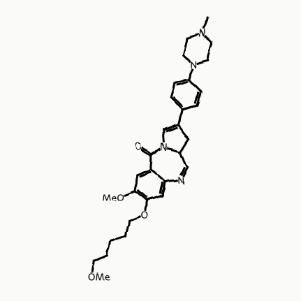 COCCCCCOc1cc2c(cc1OC)C(=O)N1C=C(c3ccc(N4CCN(C)CC4)cc3)CC1C=N2